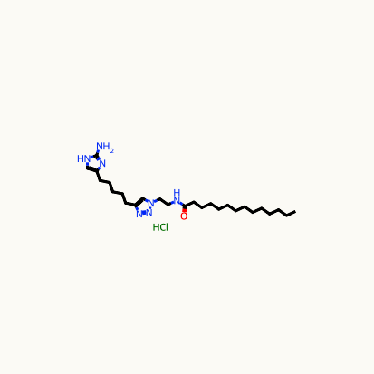 CCCCCCCCCCCCCC(=O)NCCn1cc(CCCCCc2c[nH]c(N)n2)nn1.Cl